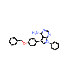 Nc1ncnc2c1c(-c1ccc(OCc3ccccc3)cc1)cn2-c1ccccc1